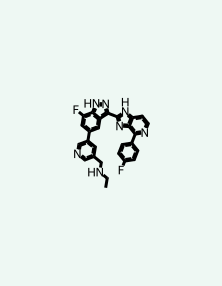 CCNCc1cncc(-c2cc(F)c3[nH]nc(-c4nc5c(-c6ccc(F)cc6)nccc5[nH]4)c3c2)c1